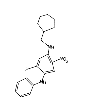 O=[N+]([O-])c1cc(Nc2ccccc2)c(F)cc1NCC1CCCCC1